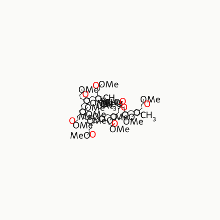 COC(=O)CCc1cc(Cc2cc(OC)c(Cc3cc(OC)c(Cc4cc(OC)c(Cc5cc(OC)c(Cc6cc(OC)c(Cc7cc(OC)c(Cc8cc(OC(C)=O)[c]([Sn]([CH3])([CH3])[CH3])cc8CCC(=O)OC)cc7CCC(=O)OC)cc6CCC(=O)OC)cc5CCC(=O)OC)cc4CCC(=O)OC)cc3CCC(=O)OC)cc2CCC(=O)OC)c(OC)cc1C